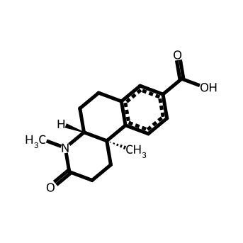 CN1C(=O)CC[C@]2(C)c3ccc(C(=O)O)cc3CC[C@@H]12